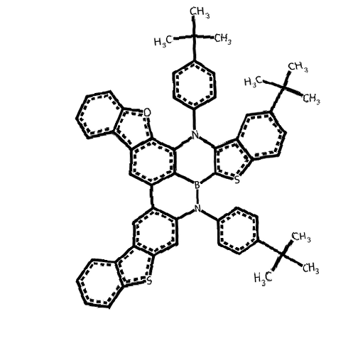 CC(C)(C)c1ccc(N2B3c4sc5ccc(C(C)(C)C)cc5c4N(c4ccc(C(C)(C)C)cc4)c4c3c(cc3c4oc4ccccc43)-c3cc4c(cc32)sc2ccccc24)cc1